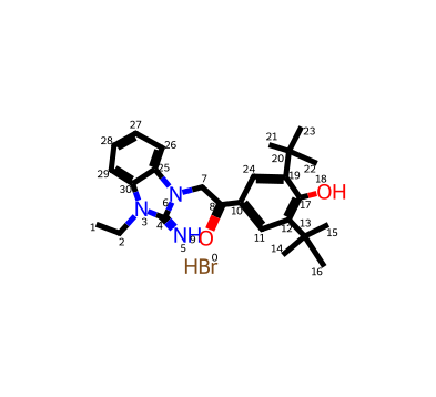 Br.CCn1c(=N)n(CC(=O)c2cc(C(C)(C)C)c(O)c(C(C)(C)C)c2)c2ccccc21